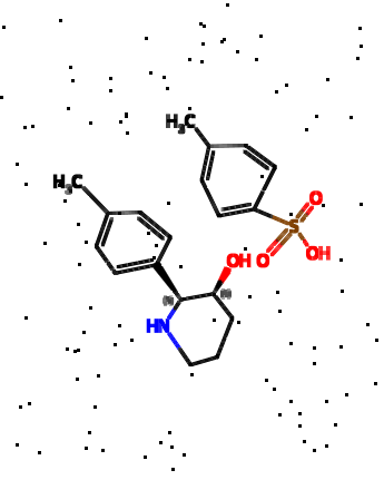 Cc1ccc(S(=O)(=O)O)cc1.Cc1ccc([C@@H]2NCCC[C@@H]2O)cc1